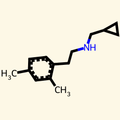 Cc1ccc(CCNCC2CC2)c(C)c1